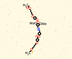 C=CC(=O)OCCCCCCOc1ccc(OCOc2c(OC)cc(/C=N/N=C/c3ccc(OC(=O)c4ccc(OCCCCCCOC(=S)C=C)cc4)cc3)cc2OC)cc1